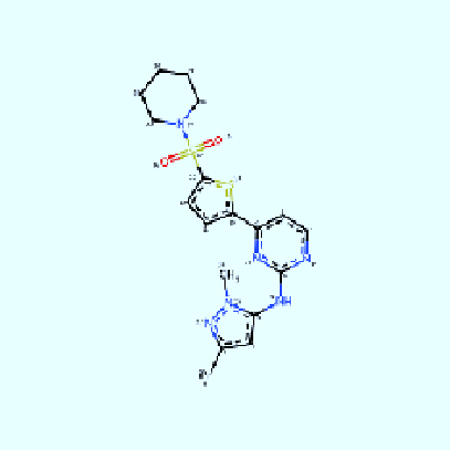 CC(C)c1cc(Nc2nccc(-c3ccc(S(=O)(=O)N4CCCCC4)s3)n2)n(C)n1